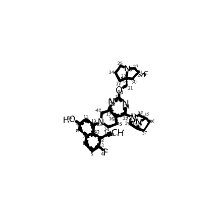 C#Cc1c(F)ccc2cc(O)cc(N3CCc4c(nc(OC[C@@]56CCCN5C[C@H](F)C6)nc4N4CC5CCC(C4)N5)C3)c12